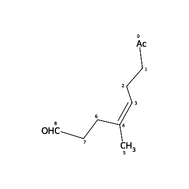 CC(=O)CCC=C(C)CCC=O